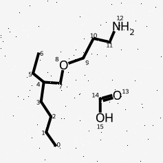 CCCCC(CC)COCCCN.O=CO